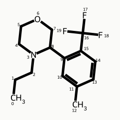 CCCN1CCOCC1c1cc(C)ccc1C(F)(F)F